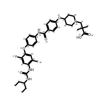 CCC(CC)NC(=O)Nc1cc(F)c(Oc2ccc(NC(=O)c3ccc(OC4CCN(CC(C)(C)C(=O)O)CC4)cc3)cc2)cc1F